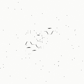 COc1ccc(OC)c(Sc2nc(N)nc(-c3c(Cl)cc4c5c(cccc35)COC4)n2)c1